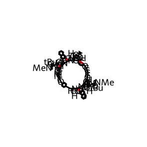 CN[C@@H](C)C(=O)N[C@H](C(=O)N1C[C@@H]2C[C@H]1C(=O)N[C@@H](Cc1ccc3ccccc3c1)C(=O)N[C@H](C(=O)O)Cc1ccc(cc1)OCc1cn(nn1)[C@H]1C[C@@H](C(=O)N[C@@H](Cc3ccc4ccccc4c3)C(=O)N[C@H](C(=O)NS(=O)(=O)C3CC3)Cc3ccc(cc3)OCCCCO2)N(C(=O)[C@@H](NC(=O)[C@H](C)NC)C(C)(C)C)C1)C(C)(C)C